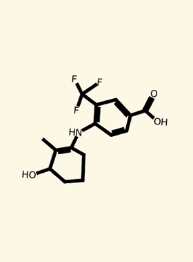 CC1=C(Nc2ccc(C(=O)O)cc2C(F)(F)F)CCCC1O